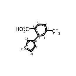 O=C(O)c1ccc(C(F)(F)F)cc1-c1ccsc1